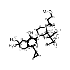 [2H]C([2H])([2H])C([2H])(C([2H])([2H])[2H])[C@]1([2H])CN(c2nc(C3CC3)c3c(c2C#N)CC(C)(C)OC3)CCN1C(=O)CCOC